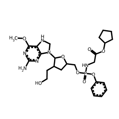 COc1nc(N)nc2c1NCN2C1OC(COP(=O)(NCC(=O)OC2CCCC2)Oc2ccccc2)CC1CCO